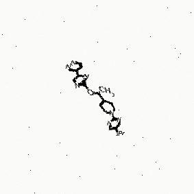 CC(C)c1cnc(N2CCC([C@H](C)Oc3cnc(-c4ccnnc4)cn3)CC2)nc1